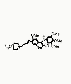 COc1cc2c(Nc3cc(OC)c(OC)c(OC)c3)c(C#N)cnc2cc1C=CCCN1CCN(C)CC1